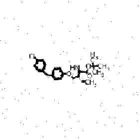 CC[C@H](COc1ccc(Cc2ccc(Cl)cc2)cc1)C(=N)C(=O)OC(C)(C)C